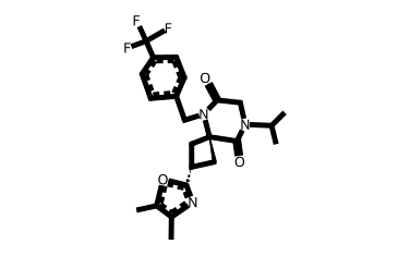 Cc1nc([C@H]2C[C@]3(C2)C(=O)N(C(C)C)CC(=O)N3Cc2ccc(C(F)(F)F)cc2)oc1C